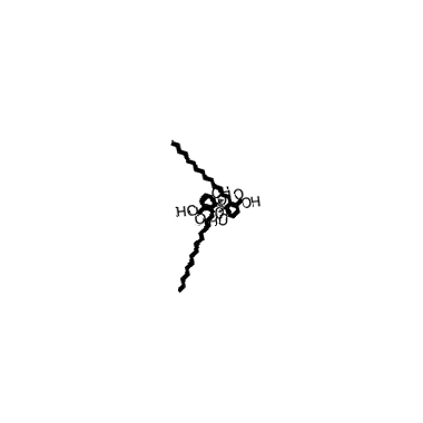 CCCCCCCCCCCCCCc1c(C(=O)O)ccc(O)c1S(=O)(=O)c1c(O)ccc(C(=O)O)c1CCCCCCCCCCCCCC